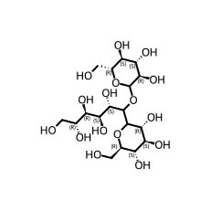 OC[C@@H](O)[C@@H](O)[C@H](O)[C@H](O)C(OC1O[C@H](CO)[C@@H](O)[C@H](O)[C@H]1O)C1O[C@H](CO)[C@@H](O)[C@H](O)[C@H]1O